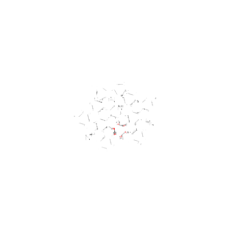 Cc1ccc2c(c1)c1cc(C)ccc1n2-c1cc(-c2c(-c3ccccc3)c(-c3ccccc3)c(C#N)c(-c3ccccc3)c2-c2ccccc2)cc(-c2c(-c3ccccc3)c(-c3ccccc3)c(C#N)c(-c3ccccc3)c2-c2ccccc2)n1